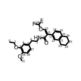 CCOc1cc(CCNC(=O)C(=COC(F)F)c2ccc3c(c2)CCCC3)ccc1OC